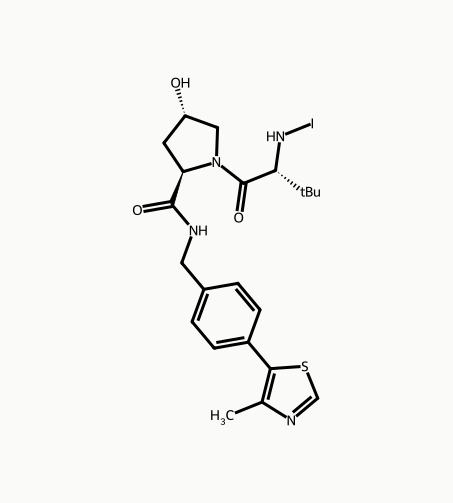 Cc1ncsc1-c1ccc(CNC(=O)[C@H]2C[C@H](O)CN2C(=O)[C@H](NI)C(C)(C)C)cc1